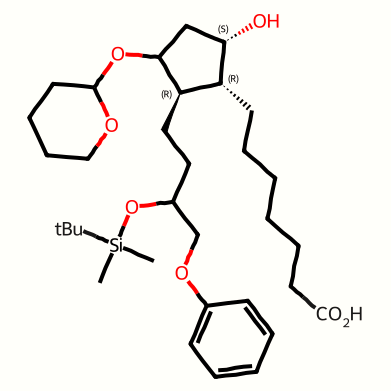 CC(C)(C)[Si](C)(C)OC(CC[C@H]1C(OC2CCCCO2)C[C@H](O)[C@@H]1CCCCCCC(=O)O)COc1ccccc1